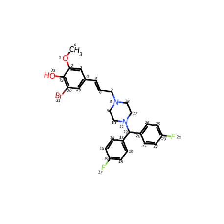 COc1cc(C=CCN2CCN(C(c3ccc(F)cc3)c3ccc(F)cc3)CC2)cc(Br)c1O